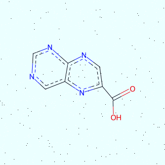 O=C(O)c1cnc2ncncc2n1